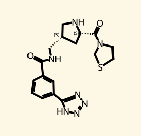 O=C(NC[C@@H]1CN[C@H](C(=O)N2CCSC2)C1)c1cccc(-c2nnn[nH]2)c1